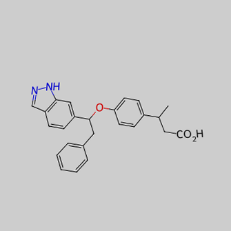 CC(CC(=O)O)c1ccc(OC(Cc2ccccc2)c2ccc3cn[nH]c3c2)cc1